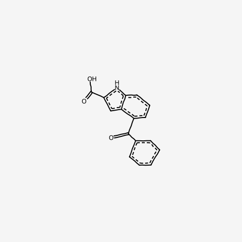 O=C(O)c1cc2c(C(=O)c3ccccc3)cccc2[nH]1